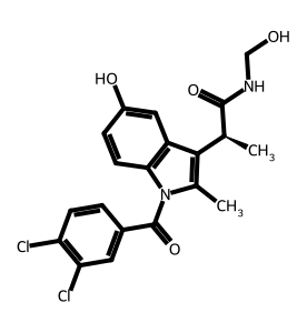 Cc1c([C@H](C)C(=O)NCO)c2cc(O)ccc2n1C(=O)c1ccc(Cl)c(Cl)c1